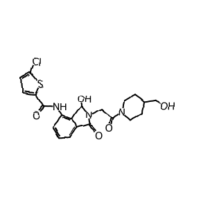 O=C(Nc1cccc2c1C(O)N(CC(=O)N1CCC(CO)CC1)C2=O)c1ccc(Cl)s1